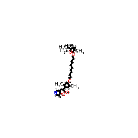 Cc1cc(-c2cc3cnccc3oc2=O)c(C)cc1OCCCCCCCCCCCOC(=O)C1(C)CC1(C)CC(C)(C)C